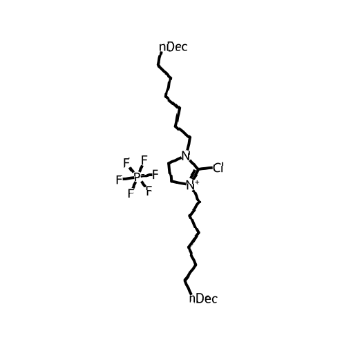 CCCCCCCCCCCCCCCCN1CC[N+](CCCCCCCCCCCCCCCC)=C1Cl.F[P-](F)(F)(F)(F)F